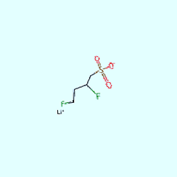 O=S(=O)([O-])CC(F)CCF.[Li+]